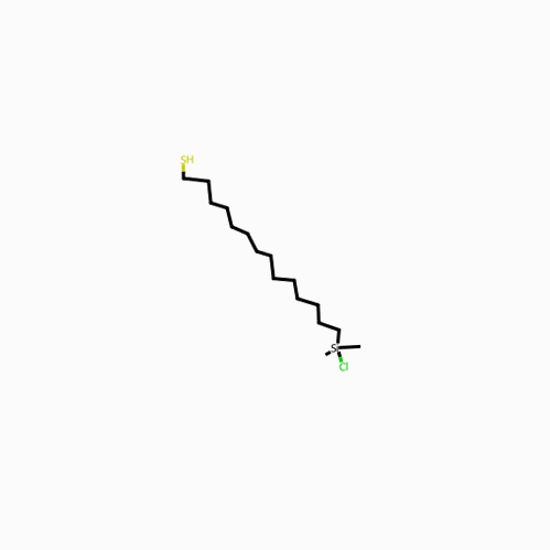 C[Si](C)(Cl)CCCCCCCCCCCCCCS